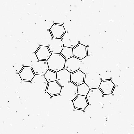 c1ccc(-n2c3c(c4ccccc42)B(c2ccc4c(c2)c2ccccc2n4-c2ccccc2)c2c(n(-c4ccccc4)c4ccccc24)-c2ccccc2-3)cc1